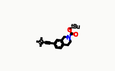 CC(C)(C)OC(=O)N1CCc2ccc(C#C[Si](C)(C)C)cc2C1